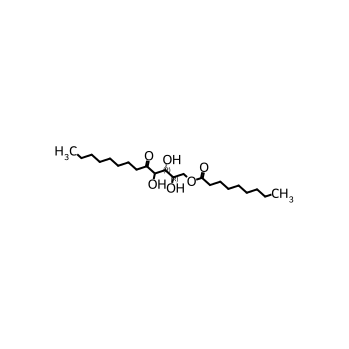 CCCCCCCCC(=O)OC[C@@H](O)[C@@H](O)C(O)C(=O)CCCCCCCC